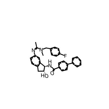 CC(=Nc1ccc2c(c1)[C@@H](NC(=O)c1ccc(-c3ccccc3)cc1)[C@H](O)C2)N(C)Cc1ccc(F)cc1